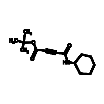 CC(C)(C)OC(=O)C#CC(=O)NC1CCCCC1